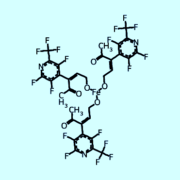 CC(=O)/C(=C\C[O][Fe]([O]C/C=C(\C(C)=O)c1c(F)c(F)nc(C(F)(F)F)c1F)[O]C/C=C(\C(C)=O)c1c(F)c(F)nc(C(F)(F)F)c1F)c1c(F)c(F)nc(C(F)(F)F)c1F